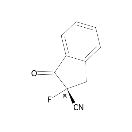 N#C[C@]1(F)Cc2ccccc2C1=O